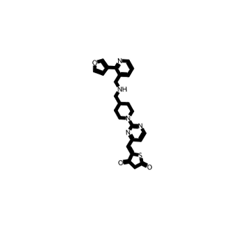 O=C1CC(=O)/C(=C/c2ccnc(N3CCC(CNCc4cccnc4-c4ccoc4)CC3)n2)S1